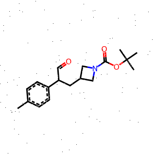 Cc1ccc(C(C=O)CC2CN(C(=O)OC(C)(C)C)C2)cc1